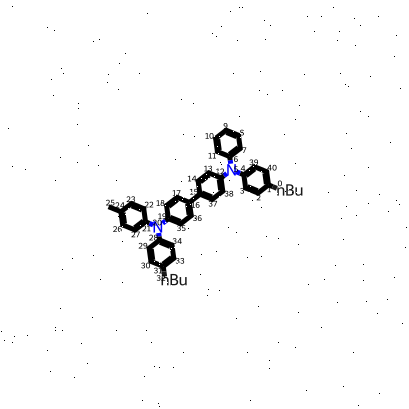 CCCCc1ccc(N(c2ccccc2)c2ccc(-c3ccc(N(c4ccc(C)cc4)c4ccc(CCCC)cc4)cc3)cc2)cc1